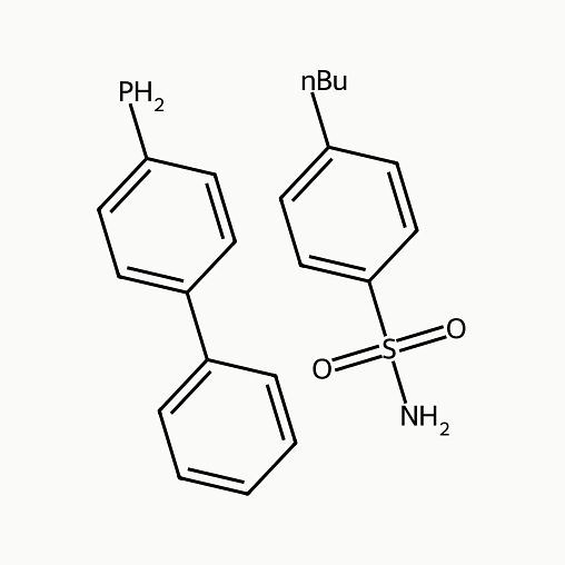 CCCCc1ccc(S(N)(=O)=O)cc1.Pc1ccc(-c2ccccc2)cc1